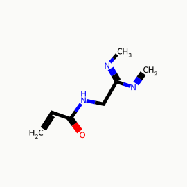 C=CC(=O)NCC(N=C)=NC